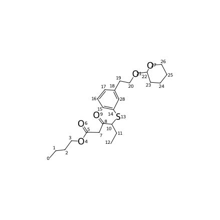 CCCCOC(=O)CC(=O)C(CC)Sc1cccc(CCOC2CCCCO2)c1